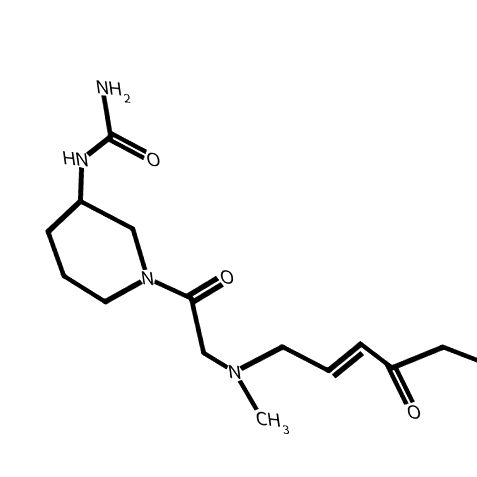 CCC(=O)/C=C/CN(C)CC(=O)N1CCCC(NC(N)=O)C1